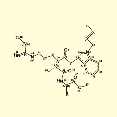 CC=CCn1cc(CC(=O)N(CCCNC(=N)NCl)[C@@H](C)C(=O)N[C@H](C)C(=O)OC)c2ccccc21